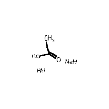 CC(=O)O.[HH].[NaH]